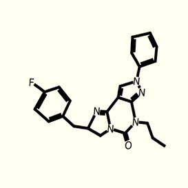 CCCN1C(=O)N2CC(Cc3ccc(F)cc3)N=C2c2cn(-c3ccccc3)nc21